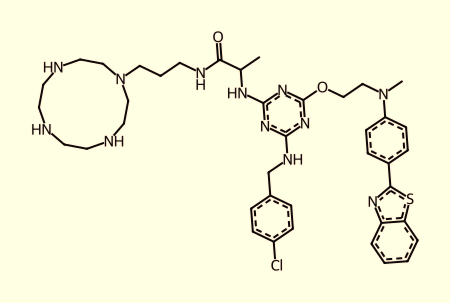 CC(Nc1nc(NCc2ccc(Cl)cc2)nc(OCCN(C)c2ccc(-c3nc4ccccc4s3)cc2)n1)C(=O)NCCCN1CCNCCNCCNCC1